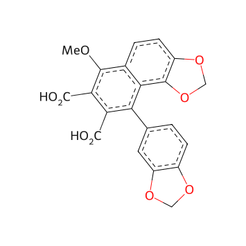 COc1c(C(=O)O)c(C(=O)O)c(-c2ccc3c(c2)OCO3)c2c3c(ccc12)OCO3